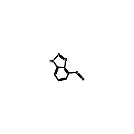 O=Pc1cccc2[nH]nnc12